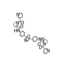 O=C(Nc1ccc(-c2cnc(-c3ccc(NC(=O)[C@@H]4CCCN4C(=O)c4cccnc4)cc3)o2)cc1)[C@@H]1CCCN1C(=O)c1cccnc1